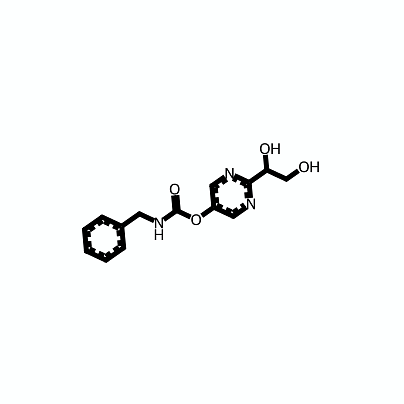 O=C(NCc1ccccc1)Oc1cnc(C(O)CO)nc1